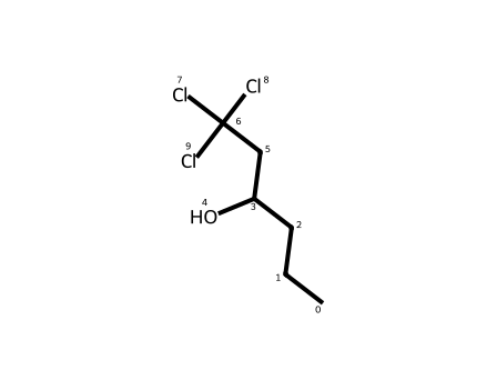 CCCC(O)CC(Cl)(Cl)Cl